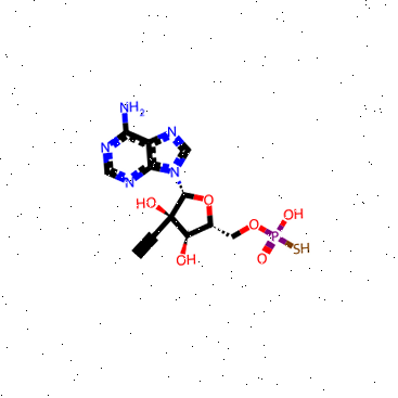 C#C[C@@]1(O)[C@H](O)[C@@H](COP(=O)(O)S)O[C@H]1n1cnc2c(N)ncnc21